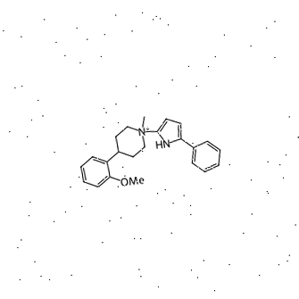 COc1ccccc1C1CC[N+](C)(c2ccc(-c3ccccc3)[nH]2)CC1